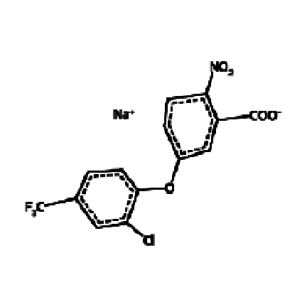 O=C([O-])c1cc(Oc2ccc(C(F)(F)F)cc2Cl)ccc1[N+](=O)[O-].[Na+]